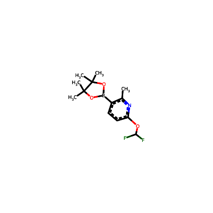 Cc1nc(OC(F)F)ccc1B1OC(C)(C)C(C)(C)O1